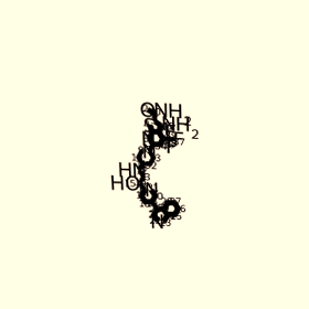 NC(=O)c1sc2nc(N3CCC(NCC(O)c4ccc(-c5cncc6ccccc56)cn4)CC3)cc(C(F)(F)F)c2c1N